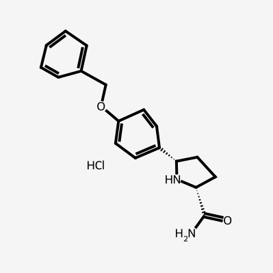 Cl.NC(=O)[C@H]1CC[C@@H](c2ccc(OCc3ccccc3)cc2)N1